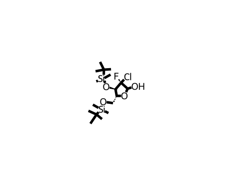 CC(C)(C)[Si](C)(C)OC[C@H]1OC(O)[C@](F)(Cl)[C@@H]1O[Si](C)(C)C(C)(C)C